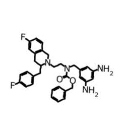 Nc1cc(N)cc(CN(CCN2Cc3ccc(F)cc3CC2Cc2ccc(F)cc2)C(=O)OCc2ccccc2)c1